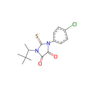 CC(N1C(=O)C(=O)N(c2ccc(Cl)cc2)C1=S)C(C)(C)C